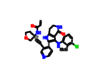 C=CC(=O)N[C@]1(C#Cc2cnccc2-c2[nH]c3c(c2Nc2cccc(Cl)c2OC)C(=O)NCC3)CCOC1